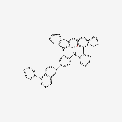 c1ccc(-c2cccc3cc(-c4ccc(N(c5ccccc5-c5cccc6ccccc56)c5cccc6c5sc5ccccc56)cc4)ccc23)cc1